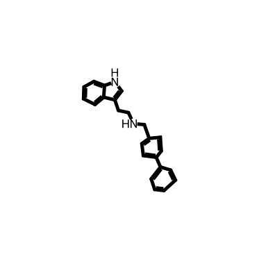 c1ccc(-c2ccc(CNCCc3c[nH]c4ccccc34)cc2)cc1